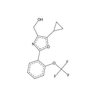 OCc1nc(-c2ccccc2OC(F)(F)F)oc1C1CC1